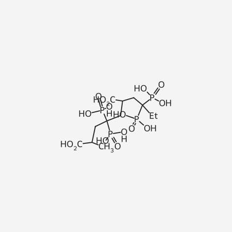 CCC(CC(CC(CC(C)C(=O)O)(P(=O)(O)O)P(=O)(O)O)C(=O)O)(P(=O)(O)O)P(=O)(O)O